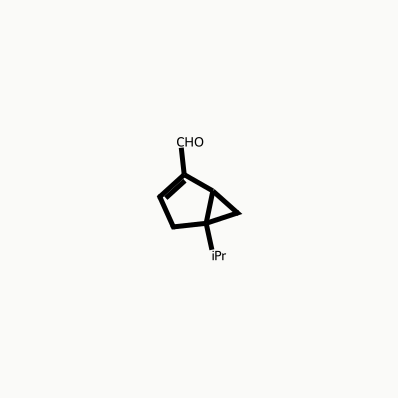 CC(C)C12CC=C(C=O)C1C2